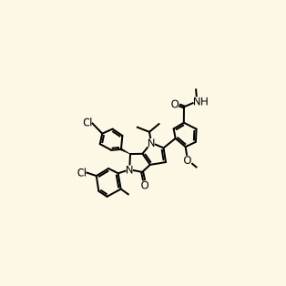 CNC(=O)c1ccc(OC)c(-c2cc3c(n2C(C)C)[C@H](c2ccc(Cl)cc2)N(c2cc(Cl)ccc2C)C3=O)c1